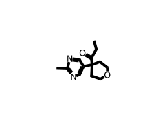 CCC(=O)C1(c2cnc(C)nc2)CCOCC1